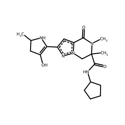 CC1CC(O)=C(c2cc3n(n2)CC(C)(C(=O)NC2CCCC2)N(C)C3=O)N1